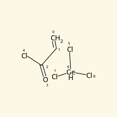 C=CC(=O)Cl.[Cl][GeH]([Cl])[Cl]